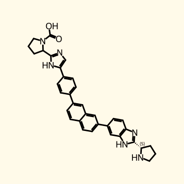 O=C(O)N1CCCC1c1ncc(-c2ccc(-c3ccc4ccc(-c5ccc6nc([C@@H]7CCCN7)[nH]c6c5)cc4c3)cc2)[nH]1